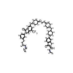 C=N/N=C\N(C)CCc1cccc(-n2cc3c(C(F)(F)F)cc(CN4CCC(OCCN5CCN(CC6CCN(c7ccc8c(c7)CN(N/C=C\C)C8=O)CC6)CC5)CC4)cn3c2=O)c1